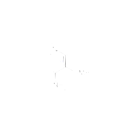 CS/C(=C/[N+](=O)[O-])CN